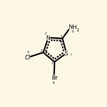 Nc1nc(Cl)c(Br)s1